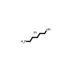 CCCCCCCCP.[Pt]